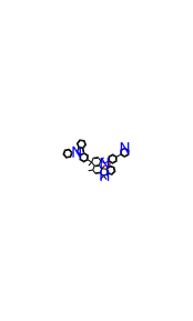 Cc1cccc2c1C1(C)C(=CC(C)C3=C1C(C)(Nc1ccc(-c4cccnc4)cc1)C=CC3(C)c1ccc3c(c1)c1ccccc1n3-c1ccccc1)C2(C)C